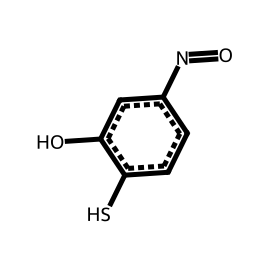 O=Nc1ccc(S)c(O)c1